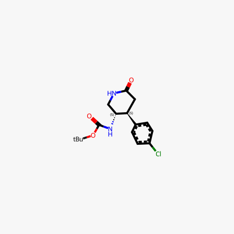 CC(C)(C)OC(=O)N[C@@H]1CNC(=O)C[C@H]1c1ccc(Cl)cc1